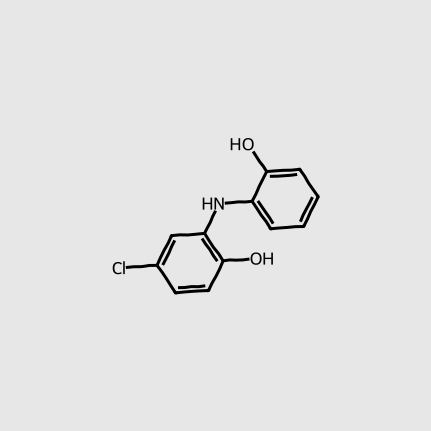 Oc1ccccc1Nc1cc(Cl)ccc1O